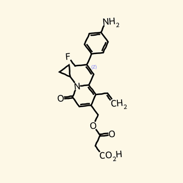 C=Cc1c(COC(=O)CC(=O)O)cc(=O)n(C2CC2)c1/C=C(\CF)c1ccc(N)cc1